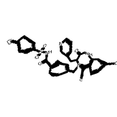 O=C(NS(=O)(=O)c1ccc(Cl)cc1)c1ccc(CN2C(=O)c3ccc(Cl)cc3NC(=O)C2Cc2cccnc2)cc1